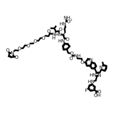 Cc1cccc(-c2nc(CNc3cc(F)cc(C(=O)O)c3)[nH]c2-c2ccc3ncc(OCCNC(=O)OCc4ccc(NC(=O)[C@H](CCCNC(N)=O)NC(=O)C(NC(=O)CCOCCOCCOCCOCCN5C(=O)C=CC5=O)C(C)C)cc4)cc3c2)n1